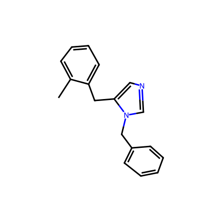 Cc1ccccc1Cc1cncn1Cc1ccccc1